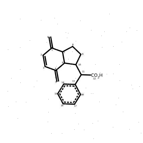 C=C1C=CC(=C)C2C1CCC2C(C(=O)O)c1ccccc1